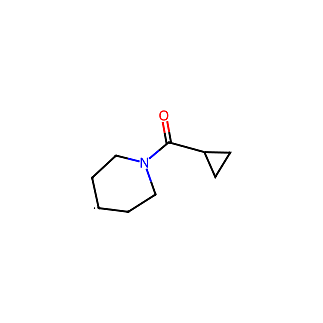 O=C(C1CC1)N1CC[CH]CC1